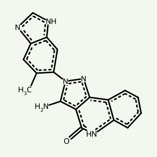 Cc1cc2nc[nH]c2cc1-n1nc2c(c1N)c(=O)[nH]c1ccccc12